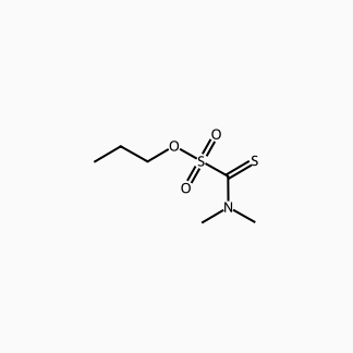 CCCOS(=O)(=O)C(=S)N(C)C